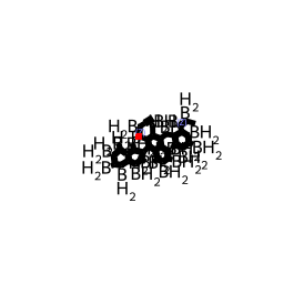 B=C(c1c(B)c(B)c(B)c(B)c1/C(B)=C(/B)C)c1c(CB)c(/C(B)=C(/B)C#C)c(-c2c(B)c(B)c3c(B)c(B)c(B)c(B)c3c2B)c2c(B)c(B)c(B)c(B)c12